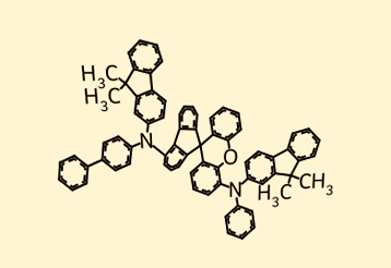 CC1(C)c2ccccc2-c2ccc(N(c3ccccc3)c3cccc4c3Oc3ccccc3C43c4ccccc4-c4c(N(c5ccc(-c6ccccc6)cc5)c5ccc6c(c5)C(C)(C)c5ccccc5-6)cccc43)cc21